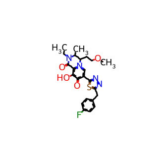 CCN1C(=O)c2c(O)c(=O)c(-c3nnc(Cc4ccc(F)cc4)s3)cn2C(CCOC)C1C